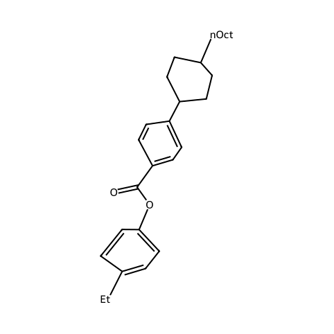 CCCCCCCCC1CCC(c2ccc(C(=O)Oc3ccc(CC)cc3)cc2)CC1